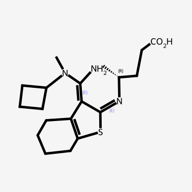 C[C@H](CCC(=O)O)/N=C1/SC2=C(CCCC2)/C1=C(/N)N(C)C1CCC1